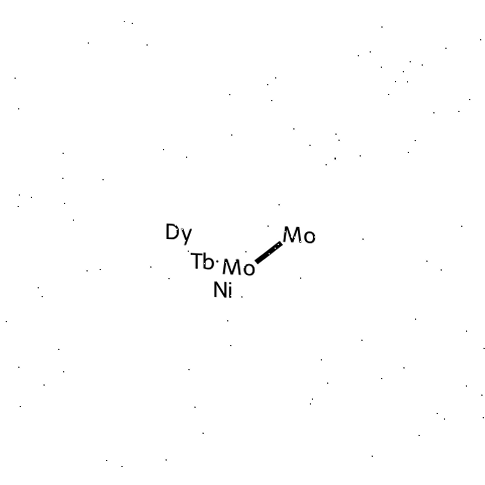 [Dy].[Mo][Mo].[Ni].[Tb]